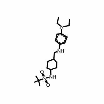 CCN(CC)c1ccc(NCC2CCC(NS(=O)(=O)C(C)(C)C)CC2)cc1